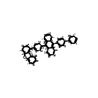 c1ccc(-c2ccc(-c3c4ccccc4c(-c4ccc(-c5cccc6oc7ccccc7c56)cc4)c4ccccc34)cc2)cc1